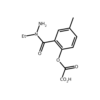 CCN(N)C(=O)c1cc(C)ccc1OC(=O)C(=O)O